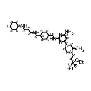 CCOP(=O)(CCN1CCN(c2cc(N)nc(NCC3CCC(CNCCCNC4CCCCC4)CC3)n2)CC1C)OCC